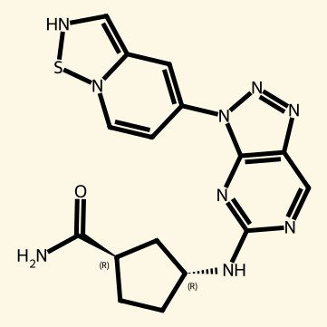 NC(=O)[C@@H]1CC[C@@H](Nc2ncc3nnn(C4=CC5=CNSN5C=C4)c3n2)C1